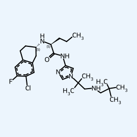 CCC[C@H](N[C@H]1CCc2cc(F)c(Cl)cc2C1)C(=O)Nc1cn(C(C)(C)CNCC(C)(C)C)cn1